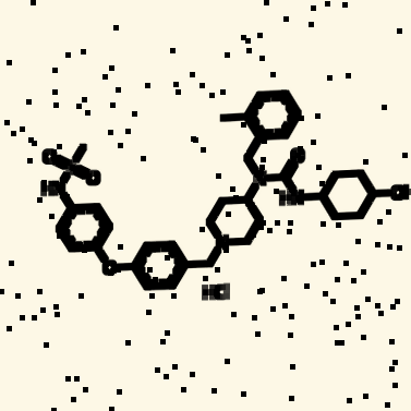 Cc1ccccc1CN(C(=O)NC1CCC(O)CC1)C1CCN(Cc2ccc(Oc3ccc(NS(C)(=O)=O)cc3)cc2)CC1.Cl